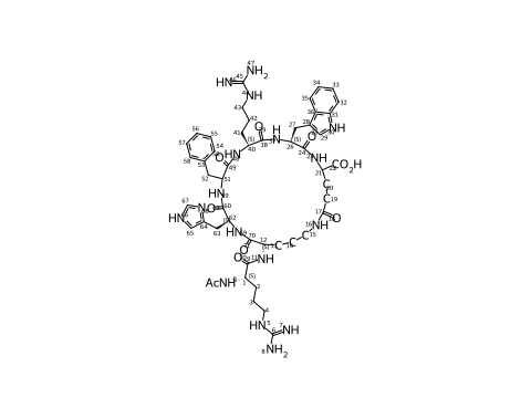 CC(=O)N[C@@H](CCCNC(=N)N)C(=O)N[C@H]1CCCNC(=O)CCC(C(=O)O)NC(=O)[C@H](Cc2c[nH]c3ccccc23)NC(=O)[C@H](CCCNC(=N)N)NC(=O)C(Cc2ccccc2)NC(=O)[C@H](Cc2c[nH]cn2)NC1=O